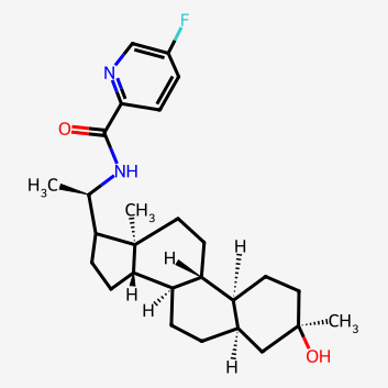 C[C@@H](NC(=O)c1ccc(F)cn1)C1CC[C@H]2[C@@H]3CC[C@@H]4C[C@](C)(O)CC[C@@H]4[C@H]3CC[C@]12C